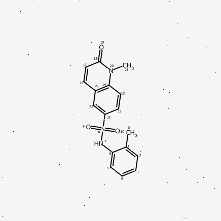 Cc1ccccc1NS(=O)(=O)c1ccc2c(ccc(=O)n2C)c1